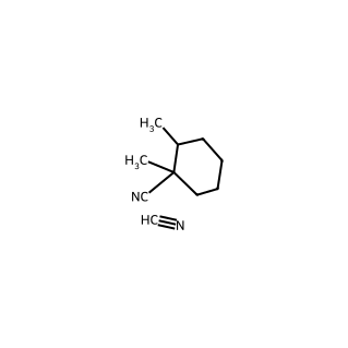 C#N.CC1CCCCC1(C)C#N